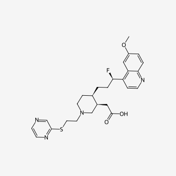 COc1ccc2nccc([C@H](F)CC[C@@H]3CCN(CCSc4cnccn4)C[C@@H]3CC(=O)O)c2c1